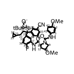 COc1ccc(NC(=O)N2C[C@H](OC)C[C@@H]2C(=O)Nc2cc(C(CCC3CC3)(N[S@+]([O-])C(C)(C)C)c3cccc(C#N)c3)ccc2F)cc1